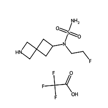 NS(=O)(=O)N(CCF)C1CC2(CNC2)C1.O=C(O)C(F)(F)F